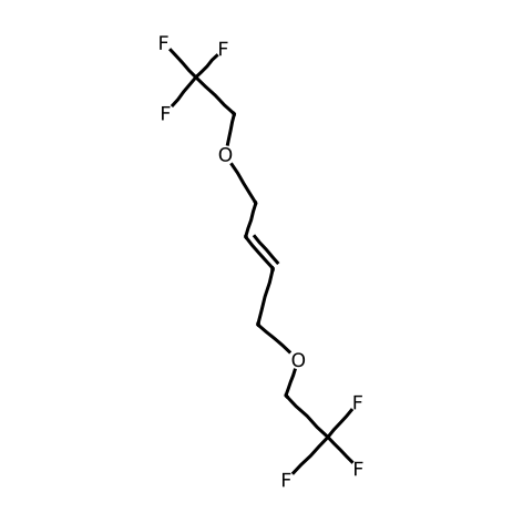 FC(F)(F)COCC=CCOCC(F)(F)F